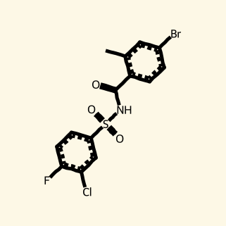 Cc1cc(Br)ccc1C(=O)NS(=O)(=O)c1ccc(F)c(Cl)c1